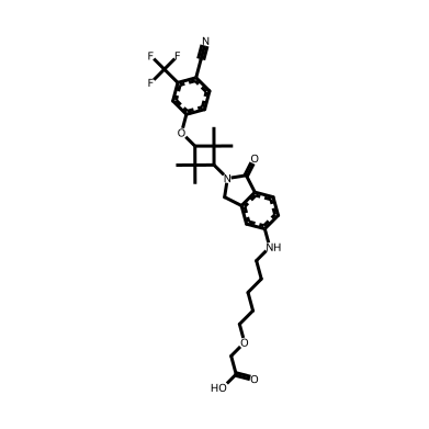 CC1(C)C(Oc2ccc(C#N)c(C(F)(F)F)c2)C(C)(C)C1N1Cc2cc(NCCCCCOCC(=O)O)ccc2C1=O